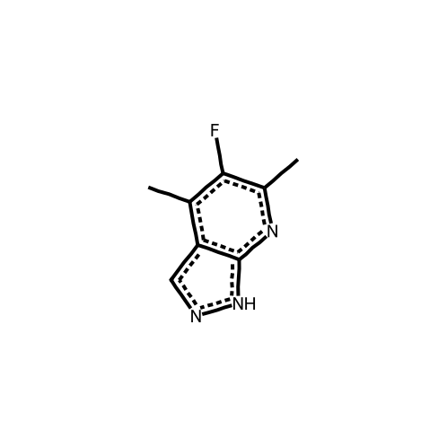 Cc1nc2[nH]ncc2c(C)c1F